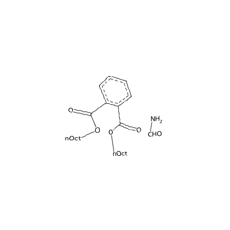 CCCCCCCCOC(=O)c1ccccc1C(=O)OCCCCCCCC.NC=O